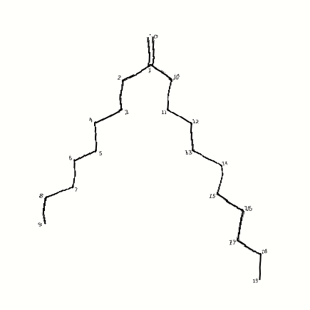 [CH]=C(CCCCCCCC)CCCCCCCCCC